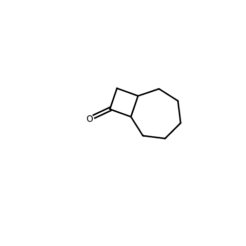 O=C1CC2CCCCCC12